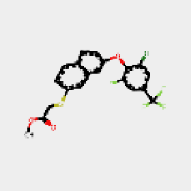 COC(=O)CSc1ccc2ccc(Oc3c(F)cc(C(F)(F)F)cc3Cl)cc2c1